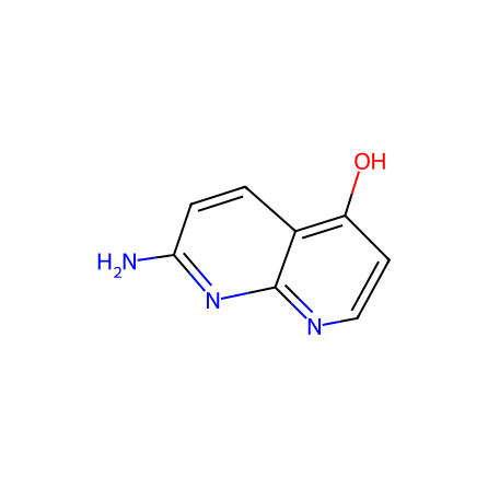 Nc1ccc2c(O)ccnc2n1